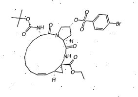 CCOC(=O)[C@@]12C[C@H]1C=CCCCCC[C@H](NC(=O)OC(C)(C)C)C(=O)N1C[C@H](OS(=O)(=O)c3ccc(Br)cc3)C[C@H]1C(=O)N2